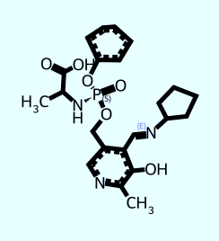 Cc1ncc(CO[P@@](=O)(NC(C)C(=O)O)Oc2ccccc2)c(/C=N/C2CCCC2)c1O